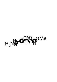 COc1cncc(-c2nc(C(C)(c3ccc(-c4cnc(N)nc4)cc3)C(C)C)no2)c1